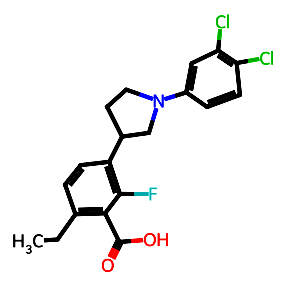 CCc1ccc(C2CCN(c3ccc(Cl)c(Cl)c3)C2)c(F)c1C(=O)O